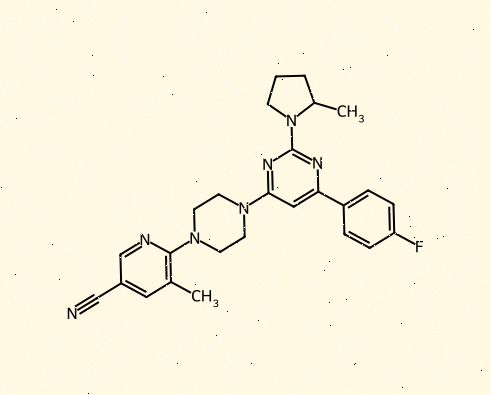 Cc1cc(C#N)cnc1N1CCN(c2cc(-c3ccc(F)cc3)nc(N3CCCC3C)n2)CC1